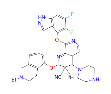 [2H]C1(C#N)C(N2CCNCC2)=c2ccnc(Oc3c(Cl)c(F)cc4[nH]ncc34)c2=NC1Oc1cccc2c1CCN(CC)C2